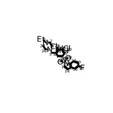 CCN1CCN(Cc2cc(S(=O)(=O)n3ccc4cc(F)ccc43)ccc2Cl)CC1.Cl.Cl